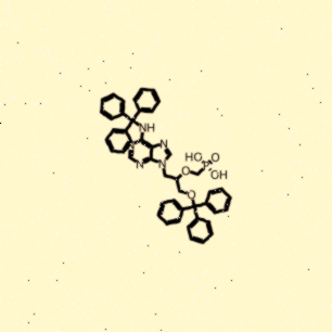 O=P(O)(O)COC(COC(c1ccccc1)(c1ccccc1)c1ccccc1)Cn1cnc2c(NC(c3ccccc3)(c3ccccc3)c3ccccc3)ncnc21